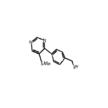 CSc1cncnc1-c1ccc(CC(C)C)cc1